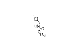 CC(C)(C)OC(=O)NC[C@H]1C[C@H](C)C1